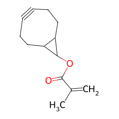 C=C(C)C(=O)OC1C2CCC#CCCC21